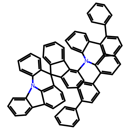 c1ccc(-c2ccc(-c3ccccc3N(c3ccccc3-c3ccccc3-c3ccccc3)c3cccc4c3-c3ccccc3C43c4ccccc4-n4c5ccccc5c5cccc3c54)cc2)cc1